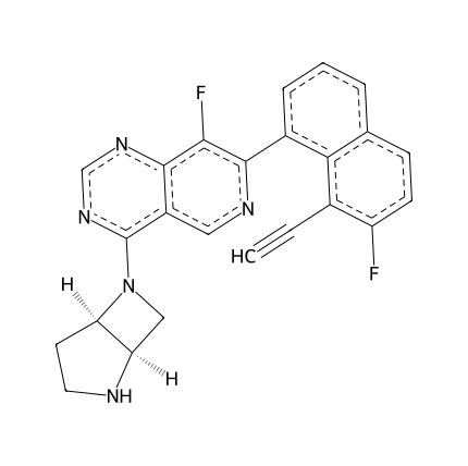 C#Cc1c(F)ccc2cccc(-c3ncc4c(N5C[C@H]6NCC[C@H]65)ncnc4c3F)c12